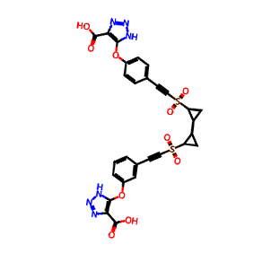 O=C(O)c1nn[nH]c1Oc1ccc(C#CS(=O)(=O)C2CC2C2CC2S(=O)(=O)C#Cc2cccc(Oc3[nH]nnc3C(=O)O)c2)cc1